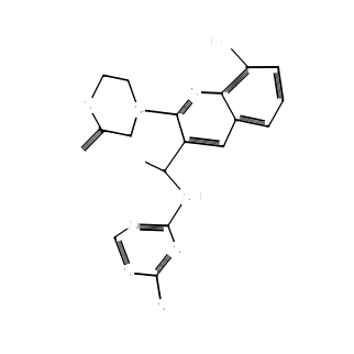 Cc1cccc2cc(C(C)Nc3ncnc(N)n3)c(N3CCNC(=O)C3)nc12